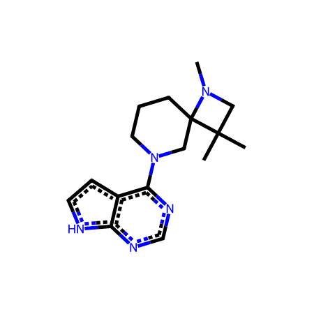 CN1CC(C)(C)C12CCCN(c1ncnc3[nH]ccc13)C2